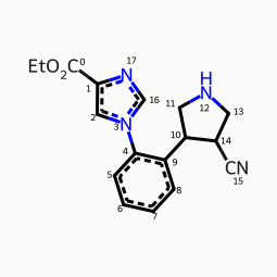 CCOC(=O)c1cn(-c2ccccc2C2CNCC2C#N)cn1